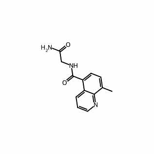 Cc1ccc(C(=O)NCC(N)=O)c2cccnc12